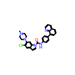 CN1CCN(c2cc3c(ccn3C(=O)Nc3ccc(-c4cccc5cccnc45)cc3)cc2Cl)CC1